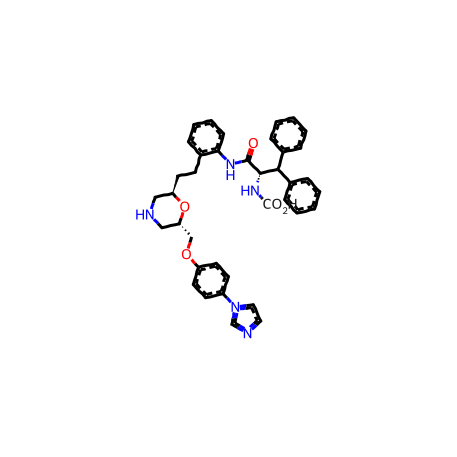 O=C(O)N[C@H](C(=O)Nc1ccccc1CC[C@@H]1CNC[C@@H](COc2ccc(-n3ccnc3)cc2)O1)C(c1ccccc1)c1ccccc1